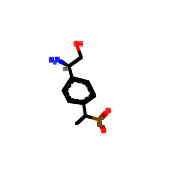 CC(c1ccc([C@@H](N)CO)cc1)[SH](=O)=O